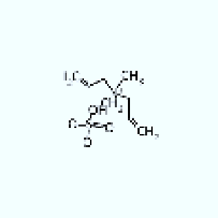 C=CC[N+](C)(C)CC=C.O=S(=O)([O-])O